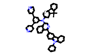 CC1(C)c2ccccc2-c2ccc(N(c3cc(-c4ccncc4)cc(-c4ccncc4)c3)c3cnc(-c4ccc5c(c4)c4ccccc4n5-c4ccccc4)c4ccccc34)cc21